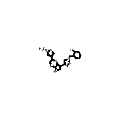 Cn1cc(-c2cnc3[nH]cc(-c4cn(Cc5ccccc5Cl)nn4)c3n2)cn1